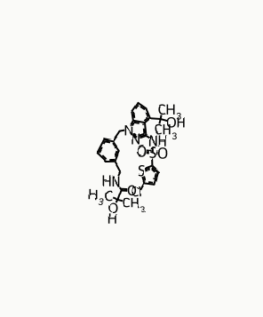 CC(C)(O)C(=O)NCc1cccc(Cn2nc(NS(=O)(=O)c3ccc(Cl)s3)c3c(C(C)(C)O)cccc32)c1